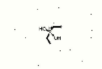 CC[PH](O)(O)CF